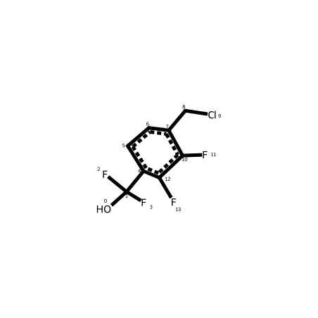 OC(F)(F)c1ccc(CCl)c(F)c1F